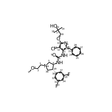 COCCN1C[C@@H](NC(=O)Nc2c(Cl)c(OCC(C)(C)O)nn2-c2ccccc2)[C@H](c2cc(F)cc(F)c2)C1